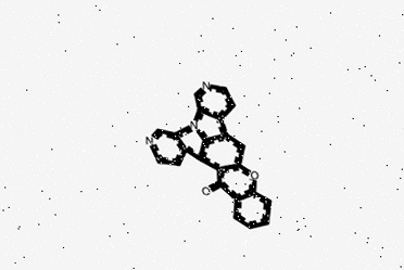 O=c1c2ccccc2oc2cc3c4ccncc4n4c5cnccc5c(c12)c34